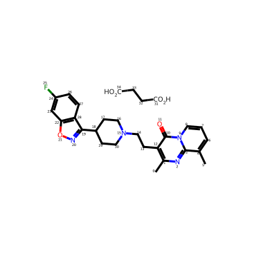 Cc1nc2c(C)cccn2c(=O)c1CCN1CCC(c2noc3cc(F)ccc23)CC1.O=C(O)CCC(=O)O